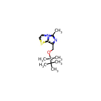 Cc1nc(CO[Si](C)(C)C(C)(C)C)c2sccn12